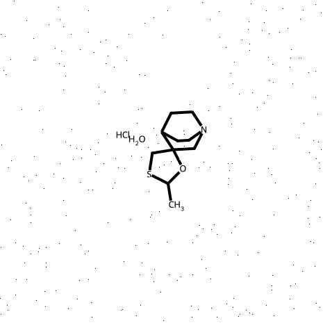 CC1OC2(CS1)CN1CCC2CC1.Cl.O